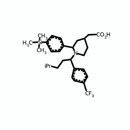 CC(C)CCC(c1ccc(C(F)(F)F)cc1)N1CCC(CC(=O)O)CC1c1ccc([Si](C)(C)C)cc1